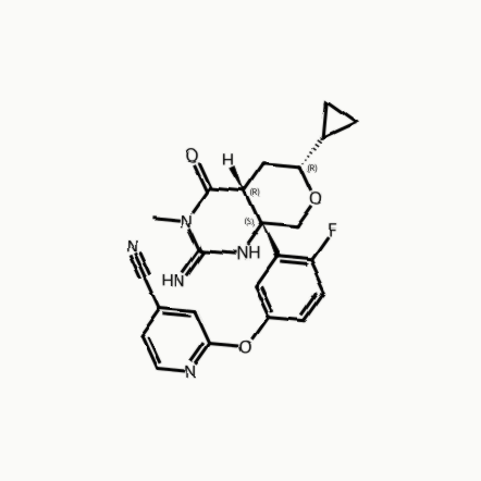 CN1C(=N)N[C@@]2(c3cc(Oc4cc(C#N)ccn4)ccc3F)CO[C@@H](C3CC3)C[C@H]2C1=O